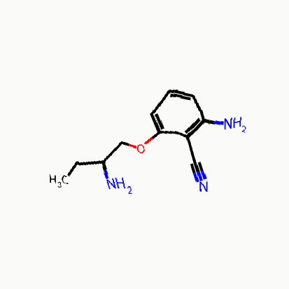 CCC(N)COc1cccc(N)c1C#N